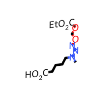 CCOC(=O)OCON=NN(C)CCCCC(=O)O